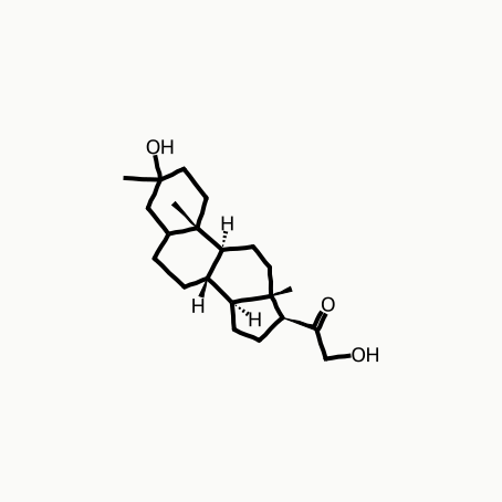 CC1(O)CC[C@@]2(C)C(CC[C@H]3[C@@H]4CC[C@H](C(=O)CO)[C@@]4(C)CC[C@@H]32)C1